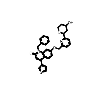 O=c1cc(-c2ccsc2)c2ccc(OCc3cccc(C4CC(O)CCO4)n3)cc2n1Cc1ccccc1